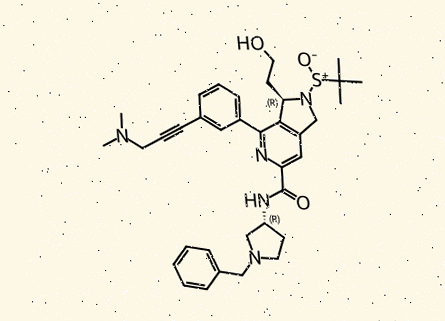 CN(C)CC#Cc1cccc(-c2nc(C(=O)N[C@@H]3CCN(Cc4ccccc4)C3)cc3c2[C@@H](CCO)N([S+]([O-])C(C)(C)C)C3)c1